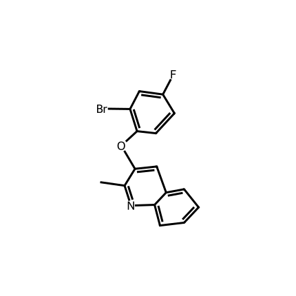 Cc1nc2ccccc2cc1Oc1ccc(F)cc1Br